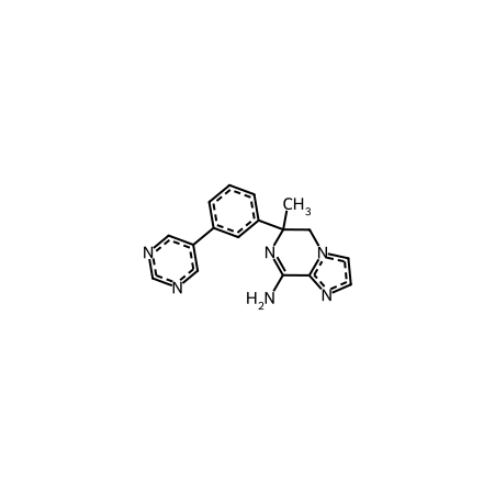 CC1(c2cccc(-c3cncnc3)c2)Cn2ccnc2C(N)=N1